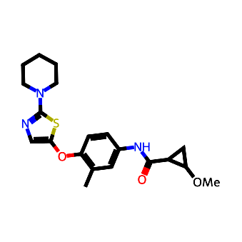 COC1CC1C(=O)Nc1ccc(Oc2cnc(N3CCCCC3)s2)c(C)c1